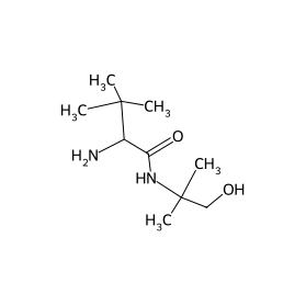 CC(C)(CO)NC(=O)C(N)C(C)(C)C